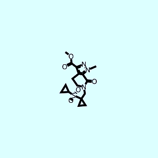 COC(=O)c1nn(C)c2c1CCN(CC1(S(=O)(=O)C3CC3)CC1)C2=O